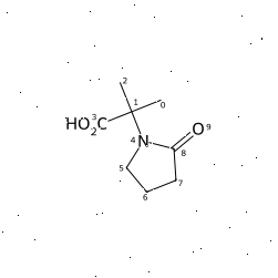 CC(C)(C(=O)O)N1CCCC1=O